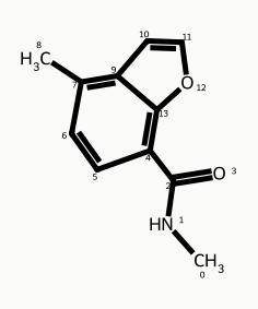 CNC(=O)c1ccc(C)c2ccoc12